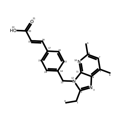 CCc1nc2c(C)cc(C)nc2n1Cc1ccc(/C=C/C(=O)O)cc1